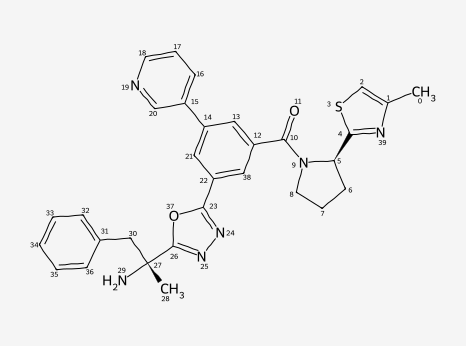 Cc1csc([C@H]2CCCN2C(=O)c2cc(-c3cccnc3)cc(-c3nnc([C@](C)(N)Cc4ccccc4)o3)c2)n1